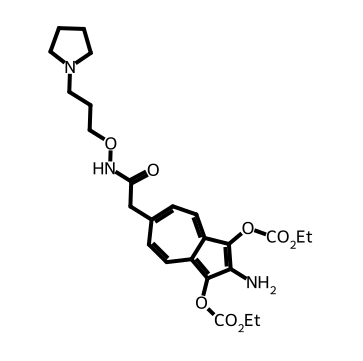 CCOC(=O)Oc1c2ccc(CC(=O)NOCCCN3CCCC3)ccc-2c(OC(=O)OCC)c1N